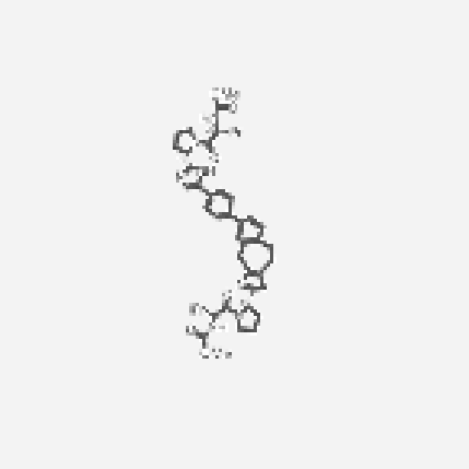 COC(=O)N[C@H](C(=O)N1CCC[C@H]1C1=NC2=C(CCc3ccc(-c4ccc(-c5cnc([C@@H]6CCCN6C(=O)[C@@H](NC(=O)OC)C(C)C)[nH]5)cc4)cc3C2)C1)C(C)C